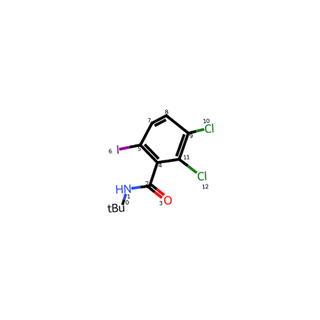 CC(C)(C)NC(=O)c1c(I)ccc(Cl)c1Cl